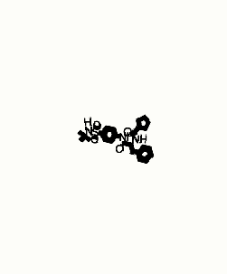 CC(C)(C)NS(=O)(=O)c1ccc(NC(=O)C(Cc2ccccc2)NC(=O)C2CCCC2)cc1